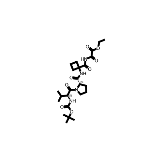 CCOC(=O)C(=O)NC(=O)C1(NC(=O)[C@@H]2CCCN2C(=O)[C@@H](NC(=O)OC(C)(C)C)C(C)C)CCC1